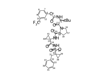 CC(C)(C)[C@H](NC(=O)Oc1cccc(C(F)(F)F)c1)C(=O)N1CCC[C@H]1C(=O)NC1(C(=O)NS(=O)(=O)C2(Cc3ccccc3)CC2)CC1